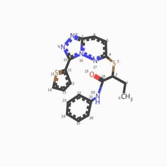 CCC(Sc1ccc2nnc(-c3cccs3)n2n1)C(=O)Nc1ccccc1